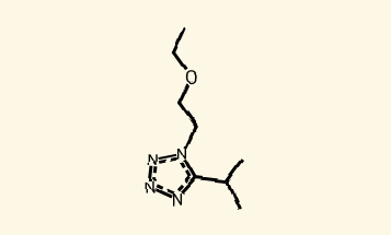 CCOCCn1nnnc1C(C)C